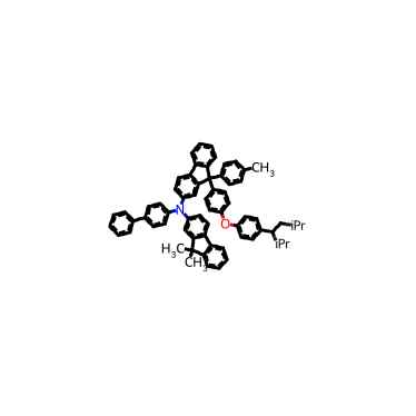 Cc1ccc(C2(c3ccc(Oc4ccc(C(CC(C)C)C(C)C)cc4)cc3)c3ccccc3-c3ccc(N(c4ccc(-c5ccccc5)cc4)c4ccc5c(c4)C(C)(C)c4ccccc4-5)cc32)cc1